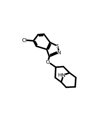 Clc1ccc2snc(OC3CC4CCCC(C3)N4)c2c1